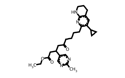 CCOC(=O)CC(CC(=O)CCCCc1nc2c(cc1C1CC1)CCCN2)c1cnc(C)nc1